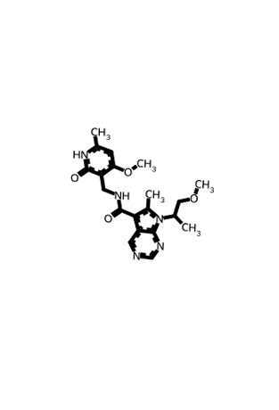 COCC(C)n1c(C)c(C(=O)NCc2c(OC)cc(C)[nH]c2=O)c2cncnc21